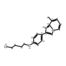 Cc1cccn2cc(-c3ccc(OCCCCCl)cc3)nc12